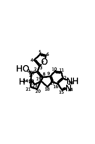 O[C@H]1C(c2ccco2)=C2c3ccc4[nH]ncc4c3CC23CC[C@@H]1C3